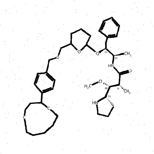 CO[C@@H]([C@@H]1CCCN1)[C@@H](C)C(=O)N[C@H](C)[C@@H](OC1CCCC(COCc2ccc(C3CCCCCCCCC3)cc2)O1)c1ccccc1